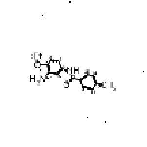 CCOc1ccc(NC(=O)c2ccc(C)cc2)cc1N